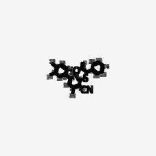 C=C(O)C(Sc1nc(-c2ccc(C)c(C)c2)cc(C)c1C#N)c1ccccc1